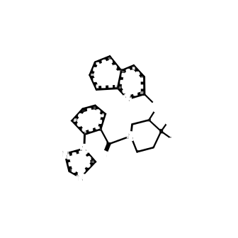 O=C(c1ccccc1-n1cncn1)N1CCC(F)(F)C(Oc2ccc3ccccc3n2)C1